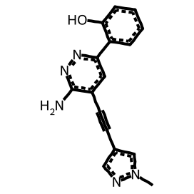 Cn1cc(C#Cc2cc(-c3ccccc3O)nnc2N)cn1